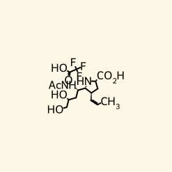 C/C=C\[C@@H]1C[C@H](C(=O)O)N[C@H]1[C@H](C[C@H](O)CO)NC(C)=O.O=C(O)C(F)(F)F